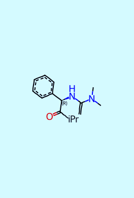 C=C(N[C@@H](C(=O)C(C)C)c1ccccc1)N(C)C